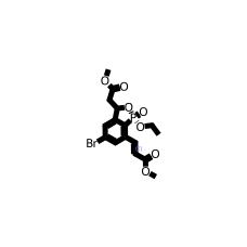 CCOP1(=O)OC(CC(=O)OC)c2cc(Br)cc(/C=C/C(=O)OC)c21